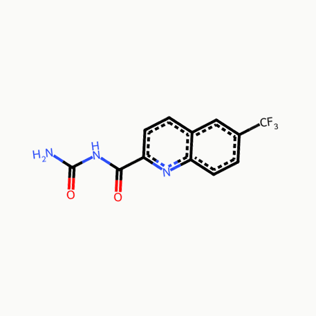 NC(=O)NC(=O)c1ccc2cc(C(F)(F)F)ccc2n1